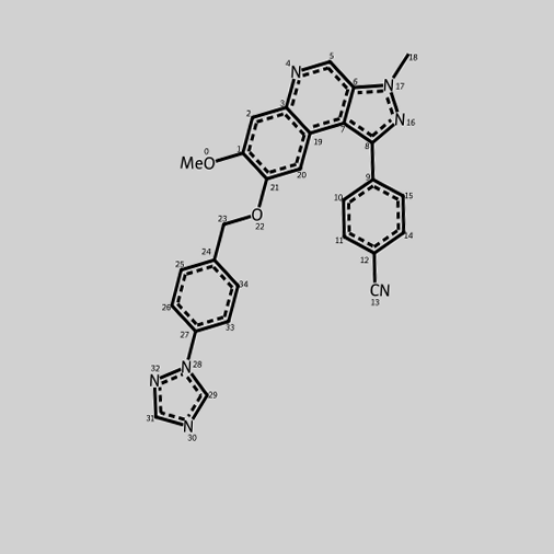 COc1cc2ncc3c(c(-c4ccc(C#N)cc4)nn3C)c2cc1OCc1ccc(-n2cncn2)cc1